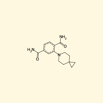 NC(=O)c1ccc(C(N)=O)c(N2CCC3(CC2)CC3)c1